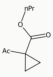 CCCOC(=O)C1(C(C)=O)CC1